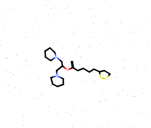 C=C(CCCCC1CCSS1)OC(CN1CCCCC1)CN1CCCCC1